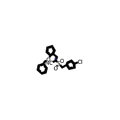 N#C/C(=C\c1ccccc1OCc1ccccc1)S(=O)(=O)Cc1ccc(Cl)cc1